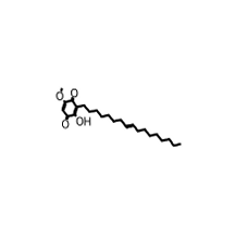 CCCCCCCCC=CCCCCCCCC1=C(O)C(=O)C=C(OC)C1=O